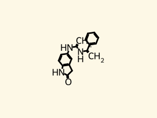 C=C(NC(=C)c1ccccc1)Nc1ccc2c(c1)CC(=O)N2